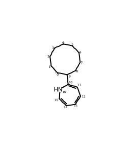 [CH]1CCCCCCCCC1C1=CC=CC=CN1